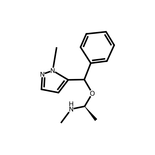 CN[C@H](C)OC(c1ccccc1)c1ccnn1C